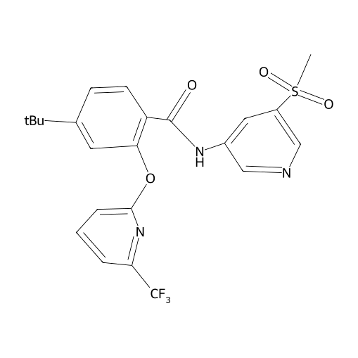 CC(C)(C)c1ccc(C(=O)Nc2cncc(S(C)(=O)=O)c2)c(Oc2cccc(C(F)(F)F)n2)c1